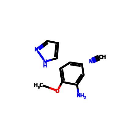 C#N.COc1ccccc1N.c1cn[nH]c1